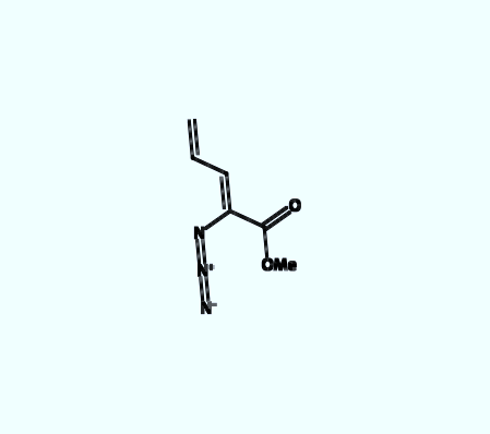 C=C/C=C(\N=[N+]=[N-])C(=O)OC